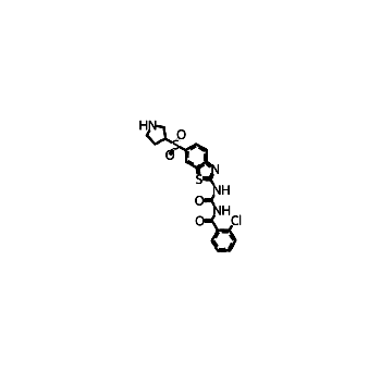 O=C(NC(=O)c1ccccc1Cl)Nc1nc2ccc(S(=O)(=O)C3CCNC3)cc2s1